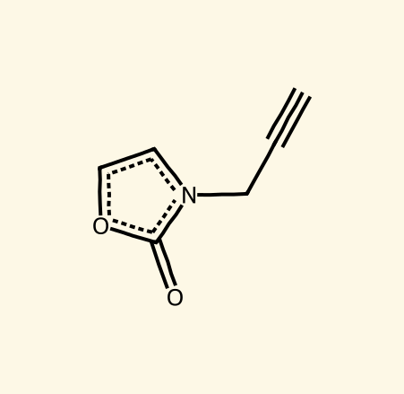 C#CCn1ccoc1=O